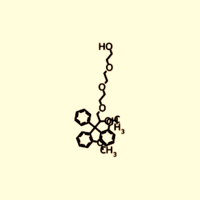 COc1ccccc1C(c1ccccc1)(c1ccccc1OC)C(O)COCCOCCOCCO